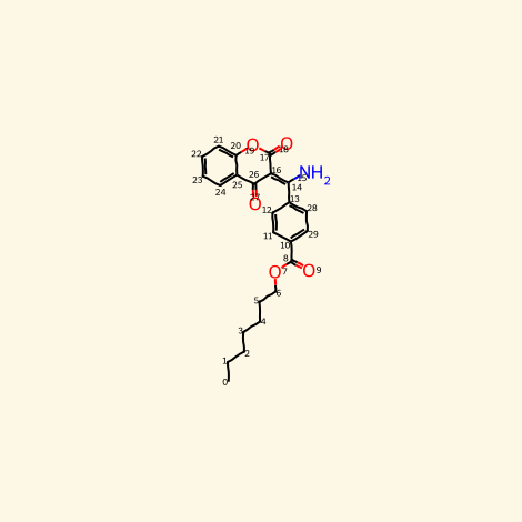 CCCCCCCOC(=O)c1ccc(/C(N)=C2/C(=O)Oc3ccccc3C2=O)cc1